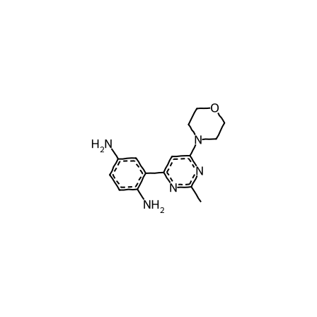 Cc1nc(-c2cc(N)ccc2N)cc(N2CCOCC2)n1